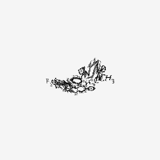 CN(C)C(=O)N1CCN(C(=O)c2ccc([C@H]3C[C@@]4(C)[C@@H](CC[C@@]4(O)C(F)(F)C(F)(F)F)[C@@H]4CCC5=CC(=O)CCC5=C43)cc2)CC1